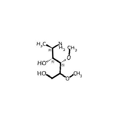 COC(CO)[C@@H](OC)[C@H](O)[C@@H](C)N